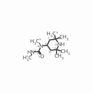 CNC(=O)N(C)C1CC(C)(C)NC(C)(C)C1